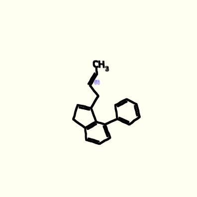 C/C=C/CC1=CCc2cccc(-c3ccccc3)c21